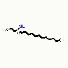 CCCCCCCCCCCC[SiH](N)CCC